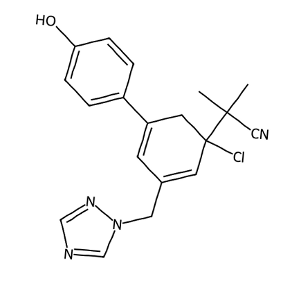 CC(C)(C#N)C1(Cl)C=C(Cn2cncn2)C=C(c2ccc(O)cc2)C1